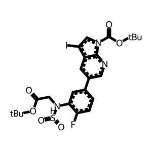 CC(C)(C)OC(=O)CN(c1cc(-c2cnc3c(c2)c(I)cn3C(=O)OC(C)(C)C)ccc1F)[SH](=O)=O